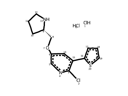 Cl.Cl.Clc1ncc(OC[C@@H]2CCCN2)cc1-c1cccs1